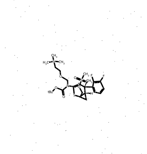 CC(C)(C)OC(=O)N(COCC[Si](C)(C)C)C1=N[C@](C)(c2cccc(F)c2F)[C@@H]2C[C@]2(COS(C)(=O)=O)S1